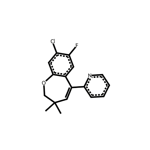 CC1(C)C=C(c2ccccn2)c2cc(F)c(Cl)cc2OC1